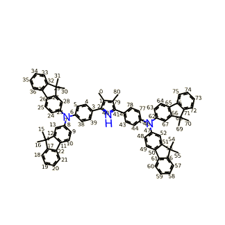 Cc1c(-c2ccc(N(c3ccc4c(c3)C(C)(C)c3ccccc3-4)c3ccc4c(c3)C(C)(C)c3ccccc3-4)cc2)[nH]c(-c2ccc(N(c3ccc4c(c3)C(C)(C)c3ccccc3-4)c3ccc4c(c3)C(C)(C)c3ccccc3-4)cc2)c1C